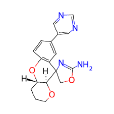 NC1=NC2(CO1)c1cc(-c3cncnc3)ccc1O[C@H]1CCCO[C@@H]12